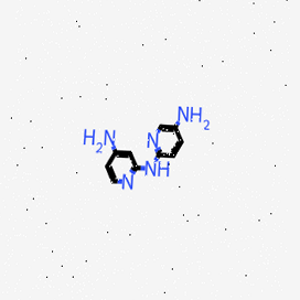 Nc1ccc(Nc2cc(N)ccn2)nc1